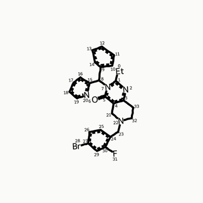 CCc1nc2c(c(=O)n1C(c1ccccc1)c1ccccn1)CN(Cc1ccc(Br)cc1F)CC2